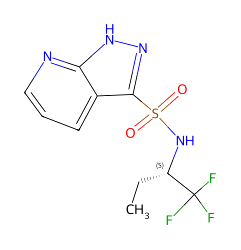 CC[C@H](NS(=O)(=O)c1n[nH]c2ncccc12)C(F)(F)F